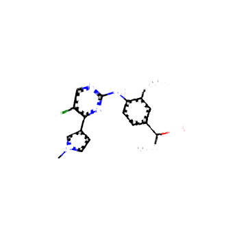 COc1cc(C(O)OC)ccc1Nc1ncc(Cl)c(-c2ccn(C)c2)n1